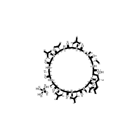 CC=CC[C@@H](C)[C@@H](O)[C@H]1C(=O)N[C@@H](CC)C(=O)N(C)CC(=O)N(C)[C@@H](CC(C)C)C(=O)N[C@@H](C(C)C)C(=O)N(C)[C@@H](CC(C)C)C(=O)N[C@@H](C)C(=O)N[C@H](C)C(=O)N(C)[C@@H](CC(C)C)C(=O)N(C)[C@@H](CC(C)C)C(=O)N(C)[C@@H](C(C)C)C(=O)N1C.O=P(O)(O)O